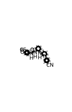 N#Cc1ccc(N2CCCC(N[C@@H]3CCCC[C@H]3NC(=O)Nc3ccc(OC(F)(F)F)cc3)C2)cc1